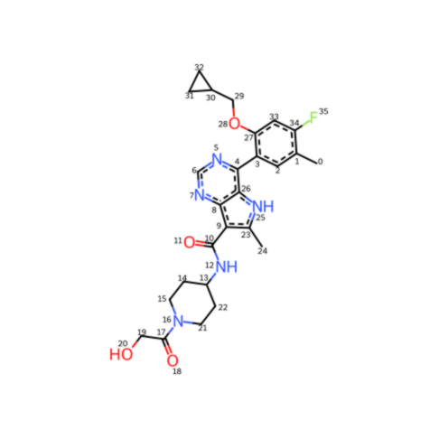 Cc1cc(-c2ncnc3c(C(=O)NC4CCN(C(=O)CO)CC4)c(C)[nH]c23)c(OCC2CC2)cc1F